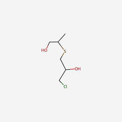 CC(CO)SCC(O)CCl